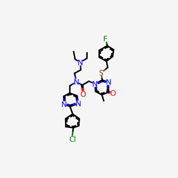 CCN(CC)CCN(Cc1cnc(-c2ccc(Cl)cc2)nc1)C(=O)Cn1cc(C)c(=O)nc1SCc1ccc(F)cc1